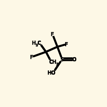 CC(C)(F)C(F)(F)S(=O)O